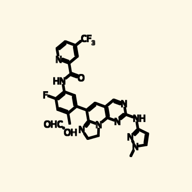 Cc1cc(F)c(NC(=O)c2cc(C(F)(F)F)ccn2)cc1C1=Cc2cnc(Nc3ccn(C)n3)nc2N2CCN=C12.O=CO